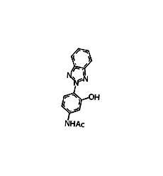 CC(=O)Nc1ccc(-n2nc3ccccc3n2)c(O)c1